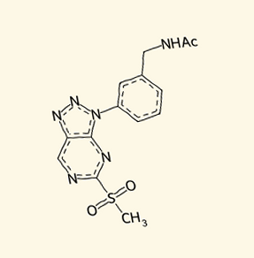 CC(=O)NCc1cccc(-n2nnc3cnc(S(C)(=O)=O)nc32)c1